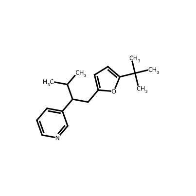 CC(C)C(Cc1ccc(C(C)(C)C)o1)c1cccnc1